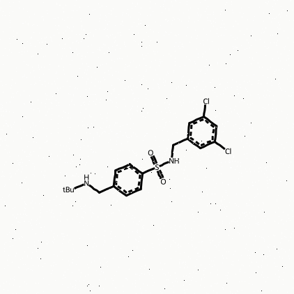 CC(C)(C)NCc1ccc(S(=O)(=O)NCc2cc(Cl)cc(Cl)c2)cc1